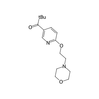 CC(C)(C)C(=O)c1ccc(OCCN2CCOCC2)nc1